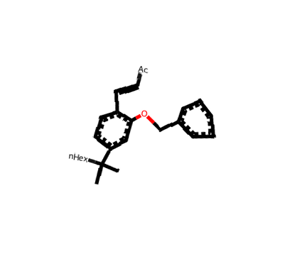 CCCCCCC(C)(C)c1ccc(/C=C/C(C)=O)c(OCc2ccccc2)c1